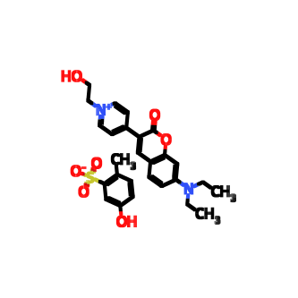 CCN(CC)c1ccc2cc(-c3cc[n+](CCO)cc3)c(=O)oc2c1.Cc1ccc(O)cc1S(=O)(=O)[O-]